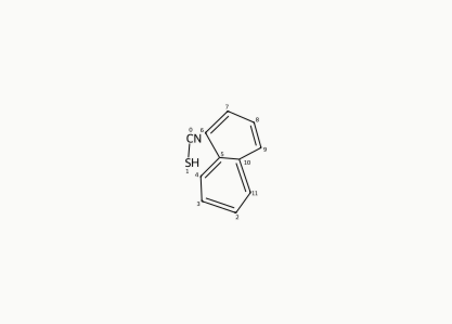 N#CS.c1ccc2ccccc2c1